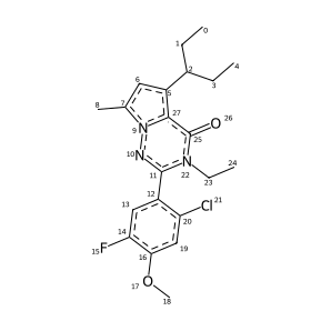 CCC(CC)c1cc(C)n2nc(-c3cc(F)c(OC)cc3Cl)n(CC)c(=O)c12